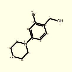 OCc1ccc(N2CCOCC2)cc1Br